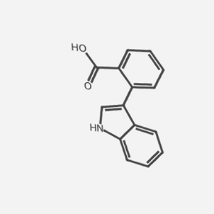 O=C(O)c1ccccc1-c1c[nH]c2ccccc12